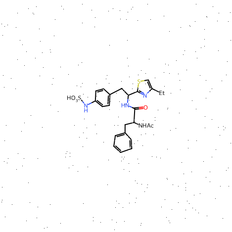 CCc1csc(C(Cc2ccc(NS(=O)(=O)O)cc2)NC(=O)C(Cc2ccccc2)NC(C)=O)n1